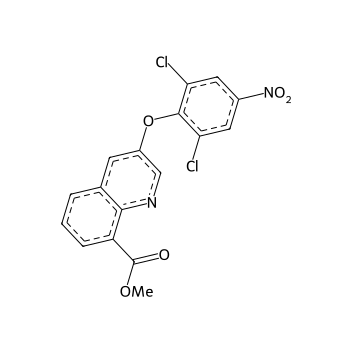 COC(=O)c1cccc2cc(Oc3c(Cl)cc([N+](=O)[O-])cc3Cl)cnc12